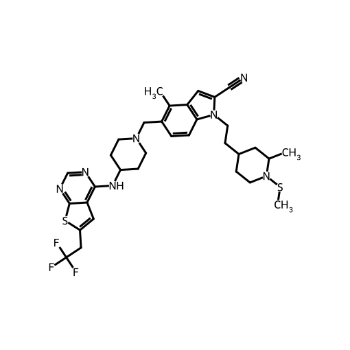 CSN1CCC(CCn2c(C#N)cc3c(C)c(CN4CCC(Nc5ncnc6sc(CC(F)(F)F)cc56)CC4)ccc32)CC1C